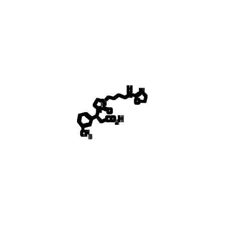 O=C(O)C[C@@H](c1cccc(C(F)(F)F)c1)N1CCN(CCCCNC2=NCCO2)C1=O